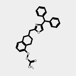 CC(=O)OOc1cccc2c1CCC(Cc1nc(C(c3ccccc3)c3ccccc3)co1)C2